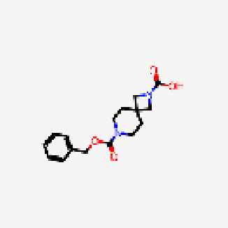 O=C(O)N1CC2(CCN(C(=O)OCc3ccccc3)CC2)C1